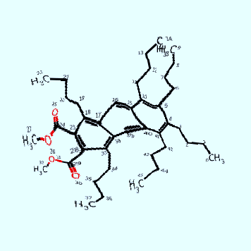 CCCCc1c(CCCC)c(CCCC)c2cc3c(CCCC)c(C(=O)OC)c(C(=O)OC)c(CCCC)c3cc2c1CCCC